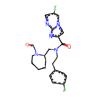 O=CN1CCCCCC1CN(CCc1ccc(F)cc1)C(=O)c1cn2cc(F)cnc2n1